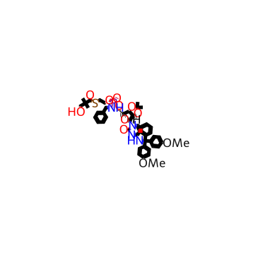 COc1ccc(C(Nc2ccn([C@@H]3O[C@H](COP(=O)(NCc4ccccc4)OCCSC(=O)C(C)(C)CO)C4OC(C)(C)O[C@@H]43)c(=O)n2)(c2ccccc2)c2ccc(OC)cc2)cc1